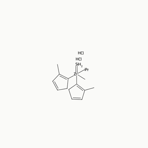 CC1=[C]([Zr]([CH3])(=[SiH2])([C]2=C(C)C=CC2)[CH](C)C)CC=C1.Cl.Cl